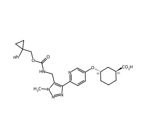 CCCC1(COC(=O)NCc2c(-c3ccc(O[C@H]4CCC[C@H](C(=O)O)C4)cn3)nnn2C)CC1